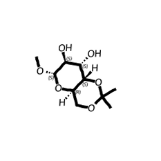 CO[C@H]1O[C@@H]2COC(C)(C)O[C@H]2[C@@H](O)[C@@H]1O